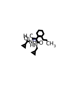 CCCC1=C(/C(C(=O)NCC2CC2)=C(\C)NC(=O)C2CC2)CCCC1